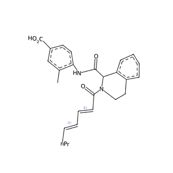 CCC/C=C/C=C/C(=O)N1CCc2ccccc2C1C(=O)Nc1ccc(C(=O)O)cc1C